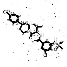 CC(C)[C@@H](NC(=O)c1cc(Cl)cc(NS(C)(=O)=O)c1)C(=O)N1CCC(c2ccc(Cl)cc2)CC1